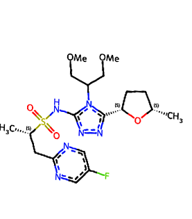 COCC(COC)n1c(NS(=O)(=O)[C@@H](C)Cc2ncc(F)cn2)nnc1[C@@H]1CC[C@H](C)O1